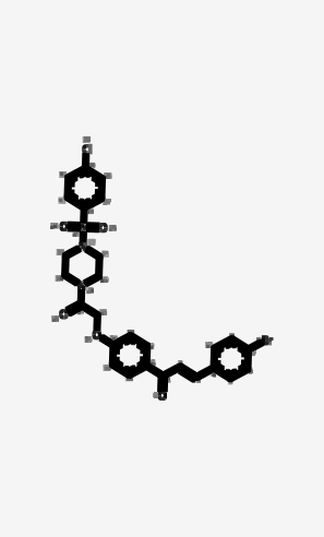 O=C(C=Cc1ccc(Br)cc1)c1ccc(OCC(=O)N2CCN(S(=O)(=O)c3ccc(Cl)cc3)CC2)cc1